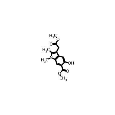 COC(=O)Cc1c(C)n(C)c2cc(C(=O)OC)c(O)cc12